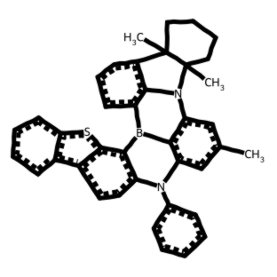 Cc1cc2c3c(c1)N1c4c(cccc4C4(C)CCCCC14C)B3c1c(ccc3c1sc1ccccc13)N2c1ccccc1